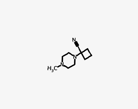 CN1CCN(C2(C#N)CCC2)CC1